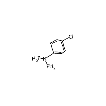 PN(P)c1ccc(Cl)cc1